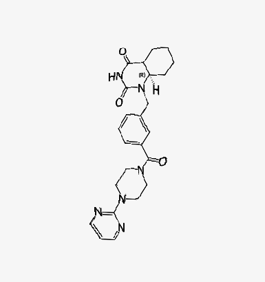 O=C1NC(=O)N(Cc2cccc(C(=O)N3CCN(c4ncccn4)CC3)c2)[C@@H]2CCCCC12